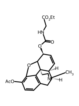 CCOC(=O)CNC(=O)O[C@H]1C=C[C@H]2[C@H]3Cc4ccc(OC(C)=O)c5c4[C@@]2(CCN3C)C1O5